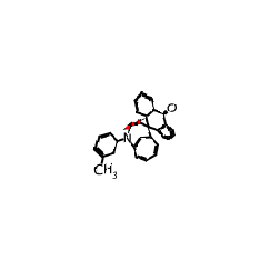 CC1=CC=CC(N2C3=CC(C=CC=C3)C3(c4ccccc4C(=O)C4C=CC=CC43)c3ccccc32)C1